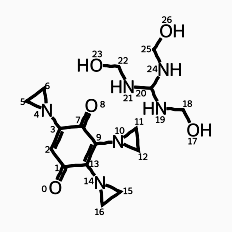 O=C1C=C(N2CC2)C(=O)C(N2CC2)=C1N1CC1.OCNC(NCO)NCO